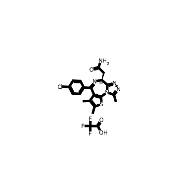 Cc1sc2c(c1C)C(c1ccc(Cl)cc1)=N[C@@H](CC(N)=O)c1nnc(C)n1-2.O=C(O)C(F)(F)F